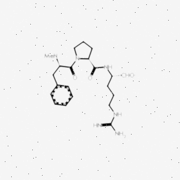 CN[C@H](Cc1ccccc1)C(=O)N1CCC[C@H]1C(=O)N[C@H]([C]=O)CCCNC(=N)N